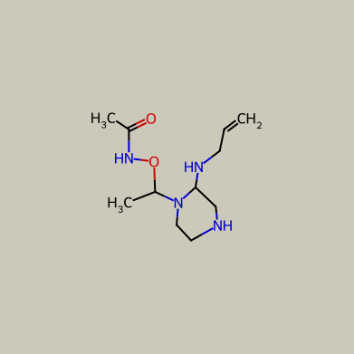 C=CCNC1CNCCN1C(C)ONC(C)=O